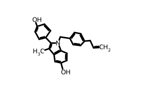 C=CCc1ccc(Cn2c(-c3ccc(O)cc3)c(C)c3cc(O)ccc32)cc1